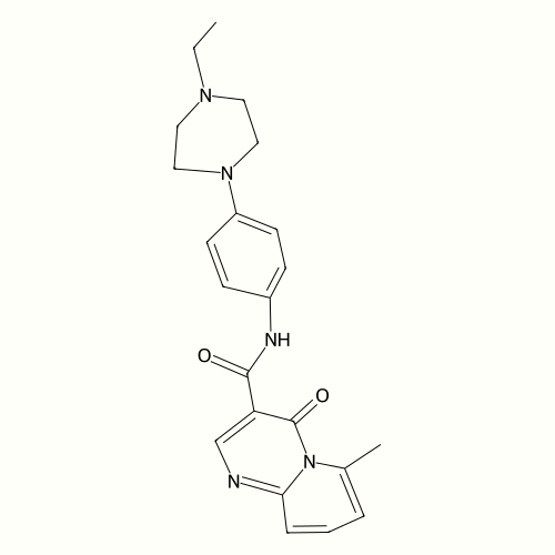 CCN1CCN(c2ccc(NC(=O)c3cnc4cccc(C)n4c3=O)cc2)CC1